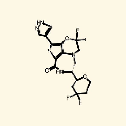 O=C1N[C@@H]([C@@H]2CC(F)(F)CCO2)CN2CC(F)(F)Oc3c(-c4cn[nH]c4)sc1c32